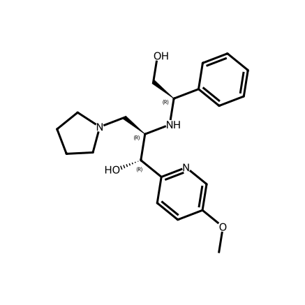 COc1ccc([C@H](O)[C@@H](CN2CCCC2)N[C@@H](CO)c2ccccc2)nc1